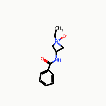 CC[N+]1([O-])CC(NC(=O)c2ccccc2)C1